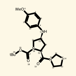 COc1ccc(N[C@H]2C[C@@H](C(=O)N3CCSC3)N(C(=O)OC(C)(C)C)C2)cc1